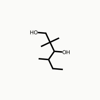 CCC(C)C(O)C(C)(C)CO